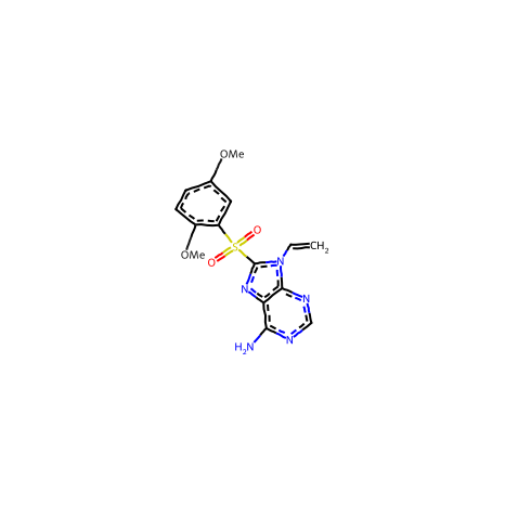 C=Cn1c(S(=O)(=O)c2cc(OC)ccc2OC)nc2c(N)ncnc21